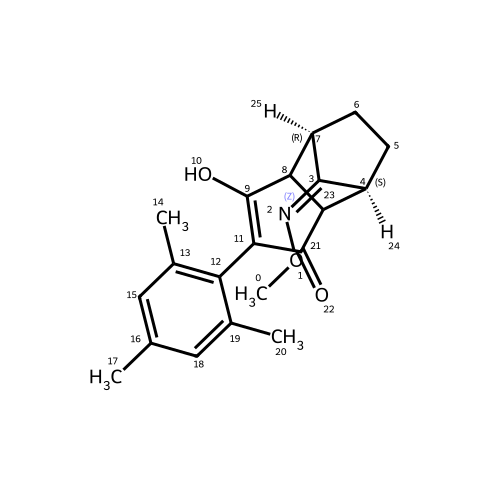 CO/N=C1\[C@H]2CC[C@@H]1C1C(O)=C(c3c(C)cc(C)cc3C)C(=O)C12